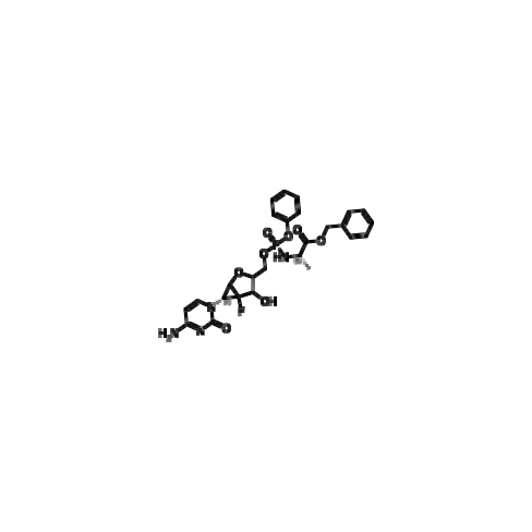 C[C@H](NP(=O)(OCC1OC2[C@@H](n3ccc(N)nc3=O)C2(F)C1O)Oc1ccccc1)C(=O)OCc1ccccc1